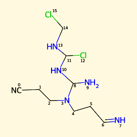 N#CCCN(CCC=N)C(N)NC(Cl)NCCl